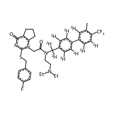 [2H]c1c([2H])c(C([2H])([2H])N(CCN(CC)CC)C(=O)Cn2c(SCc3ccc(F)cc3)nc(=O)c3c2CCC3)c([2H])c([2H])c1-c1c([2H])c([2H])c(C(F)(F)F)c(C)c1[2H]